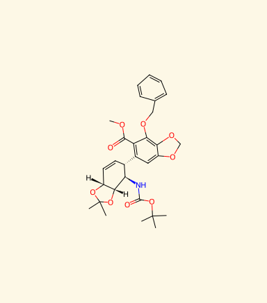 COC(=O)c1c([C@H]2C=C[C@H]3OC(C)(C)O[C@H]3[C@@H]2NC(=O)OC(C)(C)C)cc2c(c1OCc1ccccc1)OCO2